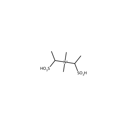 CC([N+](C)(C)C(C)S(=O)(=O)O)S(=O)(=O)O